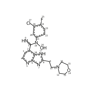 N=C(c1ccnc2nc(CCN3CCOCC3)[nH]c12)N(O)c1ccc(F)c(Cl)c1